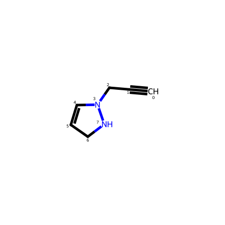 C#CCN1C=CCN1